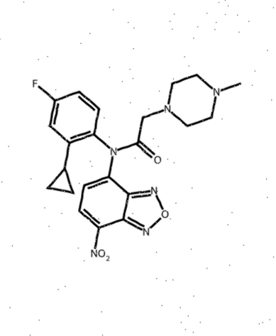 CN1CCN(CC(=O)N(c2ccc(F)cc2C2CC2)c2ccc([N+](=O)[O-])c3nonc23)CC1